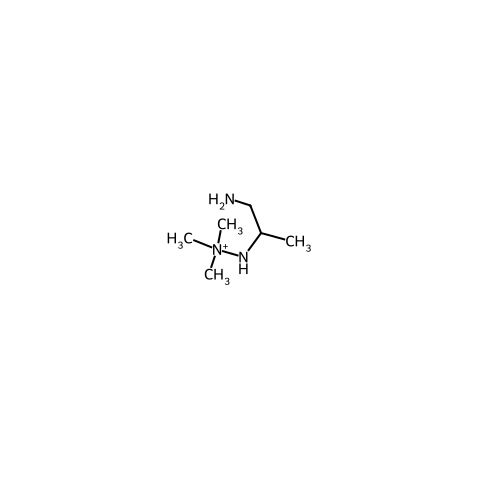 CC(CN)N[N+](C)(C)C